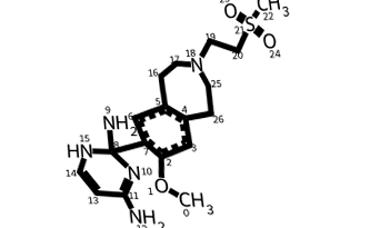 COc1cc2c(cc1C1(N)N=C(N)C=CN1)CCN(CCS(C)(=O)=O)CC2